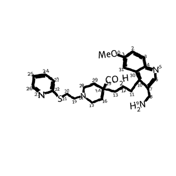 COc1ccc2ncc(CN)c(CCCC3(C(=O)O)CCN(CCSc4ccccn4)CC3)c2c1